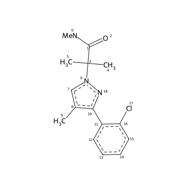 CNC(=O)C(C)(C)n1cc(C)c(-c2ccccc2Cl)n1